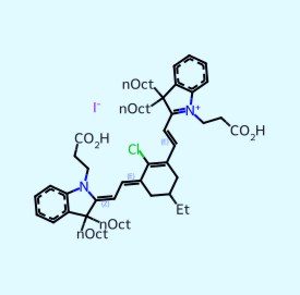 CCCCCCCCC1(CCCCCCCC)C(/C=C/C2=C(Cl)C(=C/C=C3\N(CCC(=O)O)c4ccccc4C3(CCCCCCCC)CCCCCCCC)/CC(CC)C2)=[N+](CCC(=O)O)c2ccccc21.[I-]